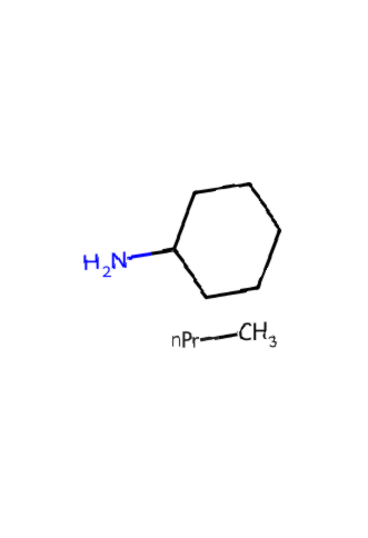 CCCC.NC1CCCCC1